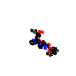 Cc1cccc(C)c1C(=O)OCC(=O)[C@H](CC(=O)O)NC(=O)C1CCCN1C(=O)[C@H](CC1CCCCC1)NC(=O)Cc1ccc(O)c([N+](=O)[O-])c1